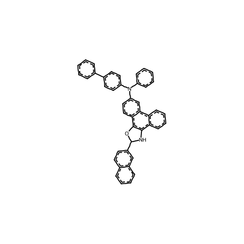 c1ccc(-c2ccc(N(c3ccccc3)c3ccc4c5c(c6ccccc6c4c3)NC(c3ccc4ccccc4c3)O5)cc2)cc1